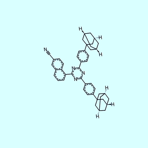 N#Cc1ccc2c(-c3nc(-c4ccc(C56C[C@H]7C[C@@H](C5)C[C@@H](C6)C7)cc4)nc(-c4ccc(C56C[C@H]7C[C@@H](C5)C[C@@H](C6)C7)cc4)n3)cccc2c1